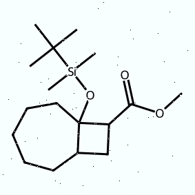 COC(=O)C1CC2CCCCCC21O[Si](C)(C)C(C)(C)C